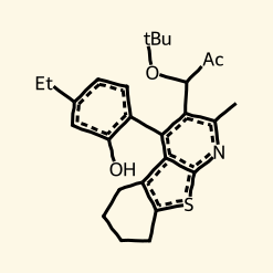 CCc1ccc(-c2c(C(OC(C)(C)C)C(C)=O)c(C)nc3sc4c(c23)CCCC4)c(O)c1